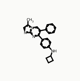 Cc1cnc2nc(-c3ccc(NC4CCC4)cc3)c(-c3ccccc3)cn12